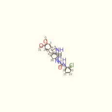 COc1ccc(C[C@@]23CCN[C@H]2C/C(=N\NC(=O)Nc2ccccc2Cl)CC3)cc1OC